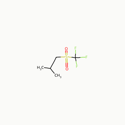 CC(C)CS(=O)(=O)C(F)(F)F